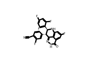 N#Cc1ccc([C@H]2c3n[nH]c(=O)c4cc(F)cc(c34)N[C@@H]2c2c(F)cc(F)cc2F)cc1F